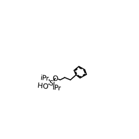 CC(C)[Si](O)(OCCCc1ccccc1)C(C)C